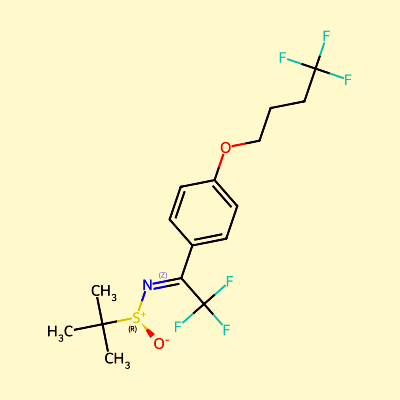 CC(C)(C)[S@+]([O-])/N=C(/c1ccc(OCCCC(F)(F)F)cc1)C(F)(F)F